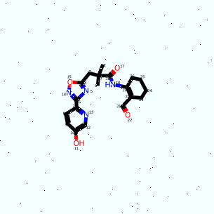 CC(C)(Cc1nc(-c2ccc(O)cn2)no1)C(=O)NC1=C(C=O)CCCC1